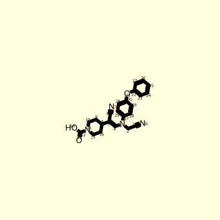 N#CCN(/C=C(\C#N)C1CCN(C(=O)O)CC1)c1ccc(Oc2ccccc2)cc1